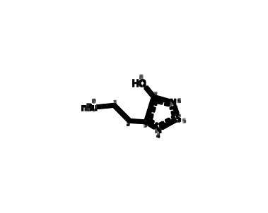 CCCCCCc1nsnc1O